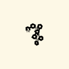 c1ccc(N2c3ccccc3-n3c4cc5c6ccccc6n(-c6cccc(-c7cccnc7)c6)c5cc4c4cccc2c43)cc1